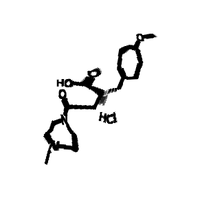 COc1ccc(C[C@H](CC(=O)N2CCN(C)CC2)C(=O)O)cc1.Cl